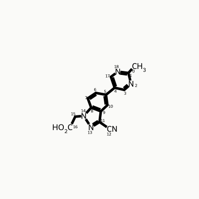 Cc1ncc(-c2ccc3c(c2)c(C#N)nn3CC(=O)O)cn1